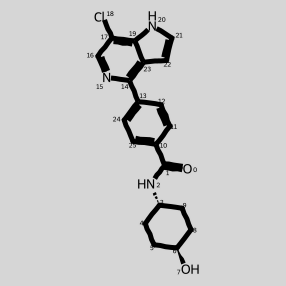 O=C(N[C@H]1CC[C@H](O)CC1)c1ccc(-c2ncc(Cl)c3[nH]ccc23)cc1